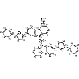 C1=CC2=[C]([Zr+2][C]3=C4C=CC=CC4c4ccc(-c5ccc(-c6ccccc6)o5)cc43)c3cc(-c4ccc(-c5ccccc5)o4)ccc3C2C=C1.[Cl-].[Cl-]